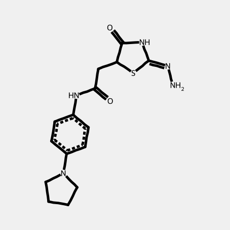 N/N=C1/NC(=O)C(CC(=O)Nc2ccc(N3CCCC3)cc2)S1